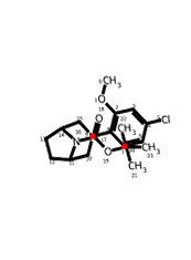 COc1cc(Cl)ccc1N1CC2CCC(C1)N2C(=O)OC(C)(C)C